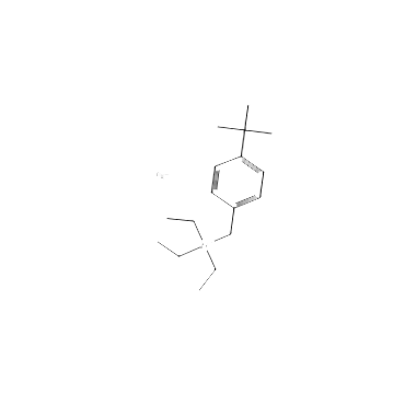 CC[N+](CC)(CC)Cc1ccc(C(C)(C)C)cc1.[Br-]